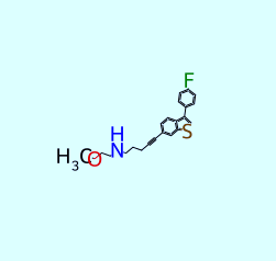 COCCNCCCC#Cc1ccc2c(-c3ccc(F)cc3)csc2c1